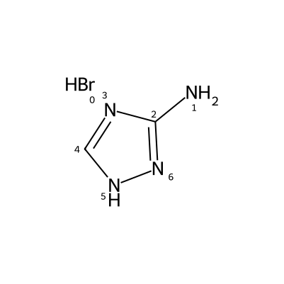 Br.Nc1nc[nH]n1